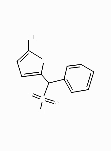 Cc1ccc(C(c2ccccc2)S(C)(=O)=O)s1